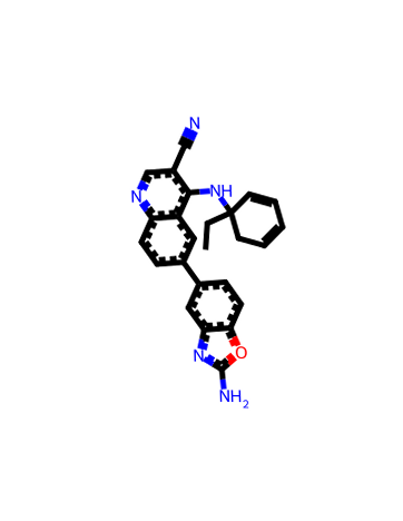 CCC1(Nc2c(C#N)cnc3ccc(-c4ccc5oc(N)nc5c4)cc23)C=CC=CC1